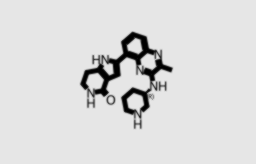 Cc1nc2cccc(-c3cc4c([nH]3)CCNC4=O)c2nc1N[C@@H]1CCCNC1